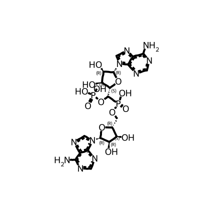 Nc1ncnc2c1ncn2[C@@H]1O[C@H](C(OP(=O)(O)O)P(=O)(O)OC[C@H]2O[C@@H](n3cnc4c(N)ncnc43)[C@H](O)[C@@H]2O)[C@@H](O)[C@H]1O